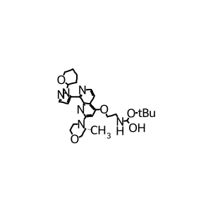 C[C@@H]1COCCN1c1cc(OCCNC(O)OC(C)(C)C)c2ccnc(-c3ccnn3C3CCCCO3)c2n1